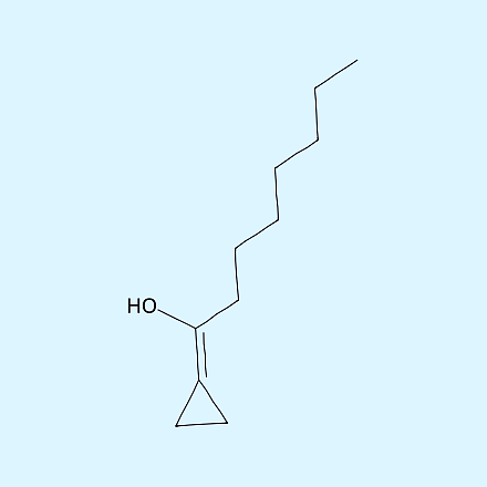 CCCCCCCC(O)=C1CC1